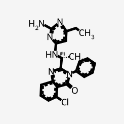 CCc1cc(N[C@H](C)c2nc3cccc(Cl)c3c(=O)n2-c2ccccc2)nc(N)n1